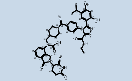 CCNC(=O)c1nnc(-c2cc(C(C)C)c(O)cc2O)n1-c1ccc(C(=O)N2CCC(CN(C(=O)O)c3cccc4c3CN(C3CCC(=O)NC3=O)C4=O)CC2)cc1